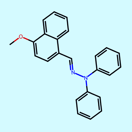 COc1ccc(C=NN(c2ccccc2)c2ccccc2)c2ccccc12